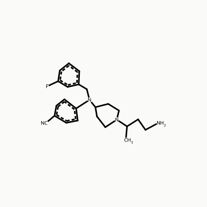 CC(CCN)N1CCC(N(Cc2cccc(F)c2)c2ccc(C#N)cc2)CC1